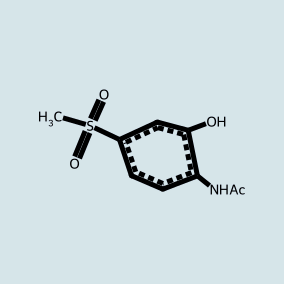 CC(=O)Nc1ccc(S(C)(=O)=O)cc1O